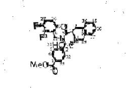 COC(=O)c1ccc(CN(C(=O)C2Cc3ccccc3CN2C(=O)O)[C@H](C)c2cccc(F)c2F)cc1